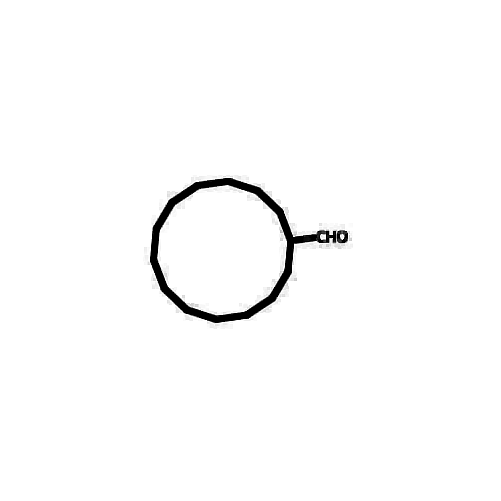 O=CC1CCCCCCCCCCCCC1